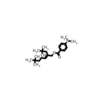 CN(C)c1ccc(C(=O)OC/C(=C/CCC(C)(C)C)CC(C)(C)C)cc1